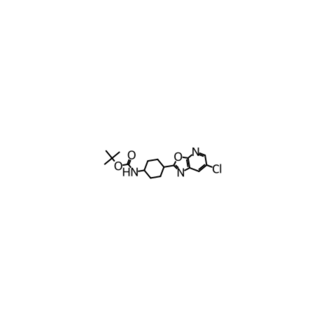 CC(C)(C)OC(=O)NC1CCC(c2nc3cc(Cl)cnc3o2)CC1